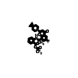 CC(Nc1ccccc1C(=O)OC(=O)C(F)(F)F)c1cc(F)cc2c(=O)cc(N3CCC4(CC3)CC4)oc12